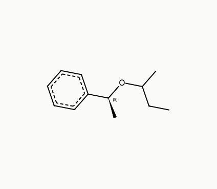 CCC(C)O[C@@H](C)c1ccccc1